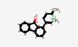 C=C(Cl)/C=C\C(=C/C)c1cccc2c1C(=O)c1ccccc1-2